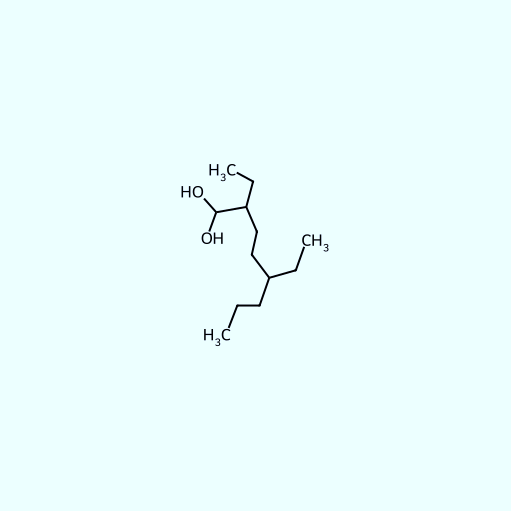 CCCC(CC)CCC(CC)C(O)O